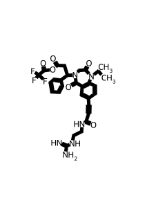 CC(C)N1C(=O)CN(C(CC(=O)OC(=O)C(F)(F)F)c2ccccc2)C(=O)c2cc(C#CC(=O)NCCNC(=N)N)ccc21